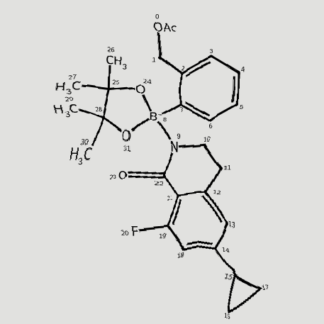 CC(=O)OCc1ccccc1[B-]1(N2CCc3cc(C4CC4)cc(F)c3C2=O)OC(C)(C)C(C)(C)O1